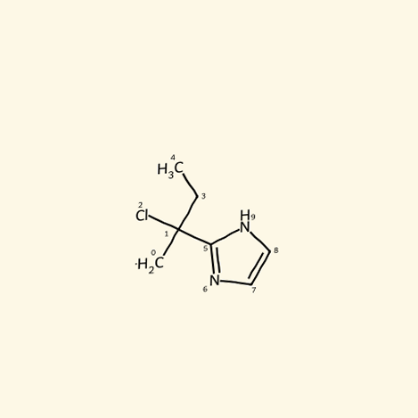 [CH2]C(Cl)(CC)c1ncc[nH]1